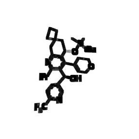 CC(C)c1nc2c(c(C3=CCOCC3)c1[C@@H](O)c1ccc(C(F)(F)F)nc1)[C@@H](O[Si](C)(C)C(C)(C)C)CC1(CCC1)C2